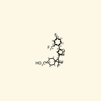 O=C(O)N1CCC2(CC1)C(c1cc(-c3ccc(F)cc3C(F)(F)F)on1)C2(F)F